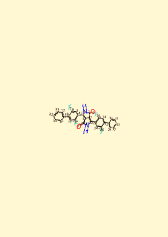 O=C1NC(c2cc(F)c(-c3ccccc3)cc2F)=C2C(=O)NC(c3cc(F)c(-c4ccccc4)cc3F)=C12